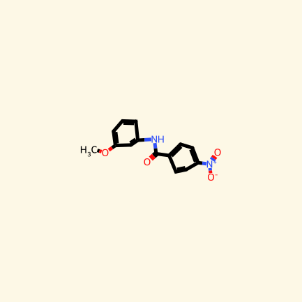 COc1cccc(NC(=O)c2ccc([N+](=O)[O-])cc2)c1